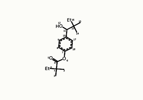 CCC(C)(C)C(=O)Oc1ccc(C(O)C(C)(C)CC)cc1